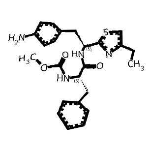 CCc1csc([C@H](Cc2ccc(N)cc2)NC(=O)[C@H](Cc2ccccc2)NC(=O)OC)n1